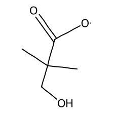 CC(C)(CO)C([O])=O